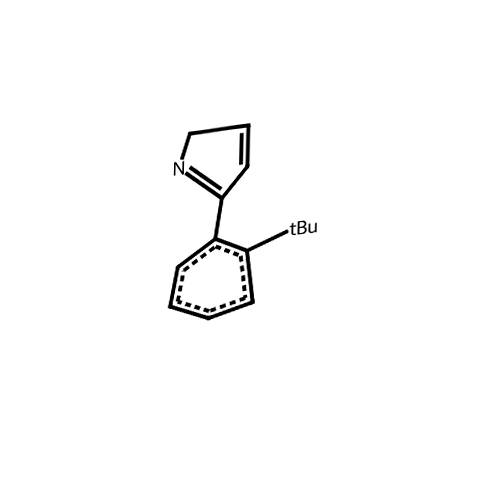 CC(C)(C)c1ccccc1C1=NCC=C1